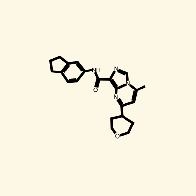 Cc1cc(C2CCOCC2)nc2c(C(=O)Nc3ccc4c(c3)CCC4)ncn12